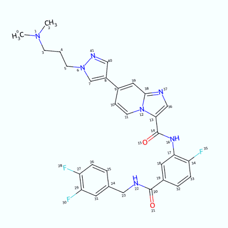 CN(C)CCCn1cc(-c2ccn3c(C(=O)Nc4cc(C(=O)NCc5ccc(F)c(F)c5)ccc4F)cnc3c2)cn1